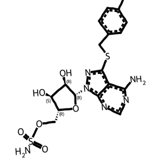 Nc1ncnc2c1c(SCc1ccc(F)cc1)nn2[C@@H]1O[C@H](COS(N)(=O)=O)[C@@H](O)[C@H]1O